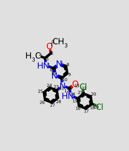 COCC(C)Nc1nccc(N(C(=O)Nc2ccc(Cl)cc2Cl)c2ccccc2)n1